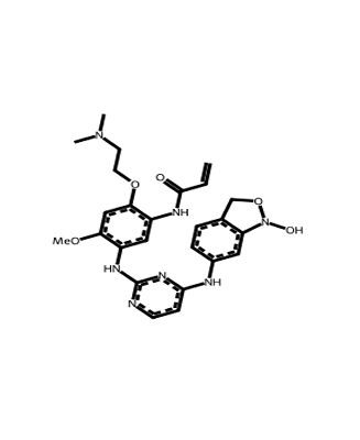 C=CC(=O)Nc1cc(Nc2nccc(Nc3ccc4c(c3)N(O)OC4)n2)c(OC)cc1OCCN(C)C